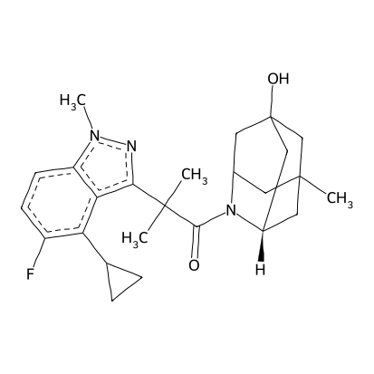 Cn1nc(C(C)(C)C(=O)N2C3CC4(C)C[C@H]2CC(O)(C3)C4)c2c(C3CC3)c(F)ccc21